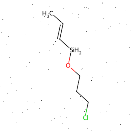 CC=C[SiH2]OCCCCl